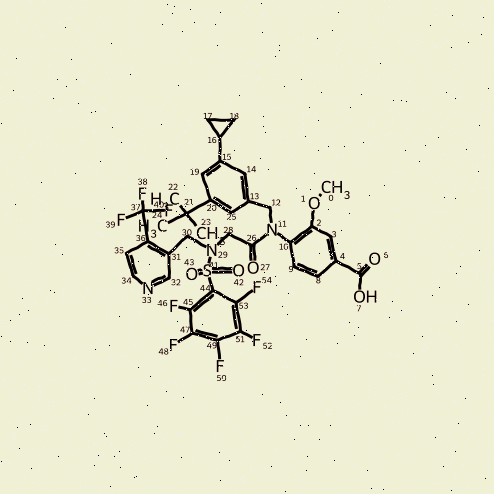 COc1cc(C(=O)O)ccc1N(Cc1cc(C2CC2)cc(C(C)(C)C)c1)C(=O)CN(Cc1cnccc1C(F)(F)F)S(=O)(=O)c1c(F)c(F)c(F)c(F)c1F